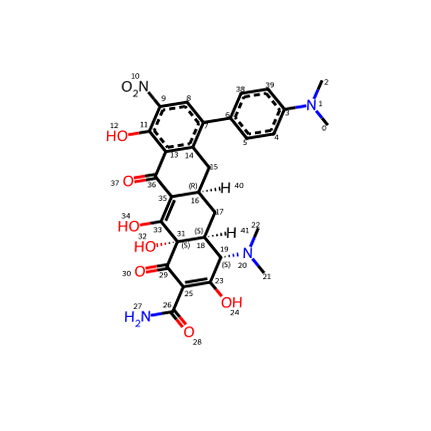 CN(C)c1ccc(-c2cc([N+](=O)[O-])c(O)c3c2C[C@H]2C[C@H]4[C@H](N(C)C)C(O)=C(C(N)=O)C(=O)[C@@]4(O)C(O)=C2C3=O)cc1